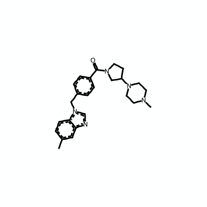 Cc1ccc2c(c1)ncn2Cc1ccc(C(=O)N2CCC(N3CCN(C)CC3)C2)cc1